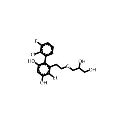 CCc1c(O)cc(O)c(-c2[c]ccc(F)c2Cl)c1CCOCC(O)CO